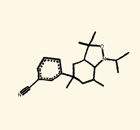 CC1CC(C)(c2cccc(C#N)c2)CC2C1N(C(C)C)OC2(C)C